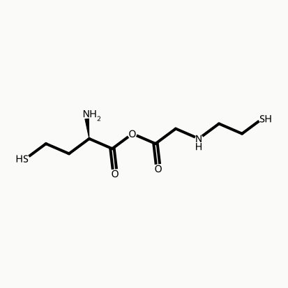 N[C@H](CCS)C(=O)OC(=O)CNCCS